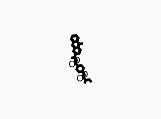 CCC(C)C(=O)OC1CCC(C(=O)OC(C)c2ccc3c(C)c4ccccc4cc3c2)CC1